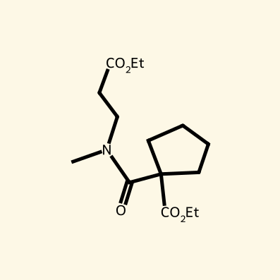 CCOC(=O)CCN(C)C(=O)C1(C(=O)OCC)CCCC1